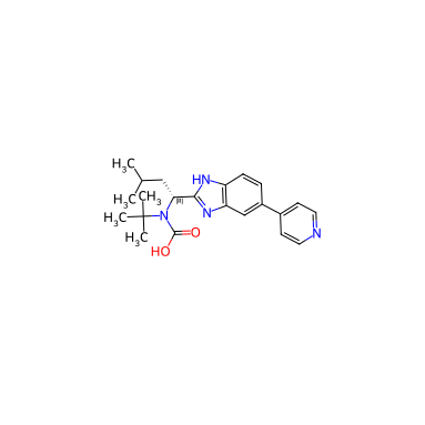 CC(C)C[C@H](c1nc2cc(-c3ccncc3)ccc2[nH]1)N(C(=O)O)C(C)(C)C